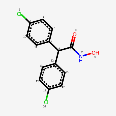 O=C(NO)C(c1ccc(Cl)cc1)c1ccc(Cl)cc1